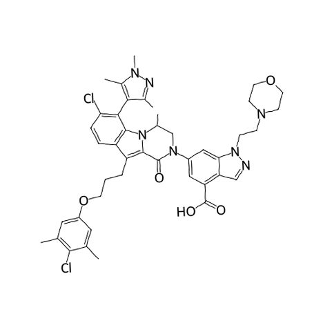 Cc1cc(OCCCc2c3n(c4c(-c5c(C)nn(C)c5C)c(Cl)ccc24)C(C)CN(c2cc(C(=O)O)c4cnn(CCN5CCOCC5)c4c2)C3=O)cc(C)c1Cl